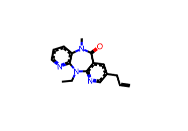 C=CCc1cnc2c(c1)C(=O)N(C)c1cccnc1N2CC